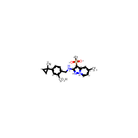 CCS(=O)(=O)c1c(NCc2ccc(C3(C#N)CC3)cc2C(=O)O)nn2ccc(C(F)(F)F)cc12